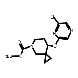 CC(C)(C)OC(=O)N1CCC(Oc2cncc(Cl)n2)C2(CC2)C1